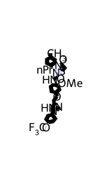 CCCc1ccc(C)cc1N1C(=O)CS/C1=N\C(=O)Nc1ccc(OCC2N=CN(c3ccc(OC(F)(F)F)cc3)N2)cc1OC